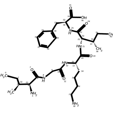 CC[C@H](C)[C@H](N)C(=O)NCC(=O)N[C@@H](CCCCN)C(=O)N[C@H](C(=O)N[C@@H](Cc1ccccc1)C(=O)O)[C@@H](C)CC